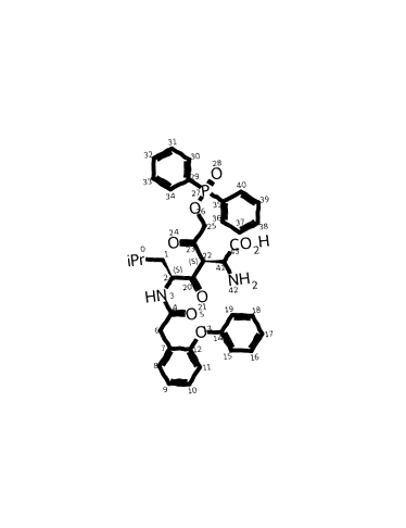 CC(C)C[C@H](NC(=O)Cc1ccccc1Oc1ccccc1)C(=O)[C@@H](C(=O)COP(=O)(c1ccccc1)c1ccccc1)C(N)C(=O)O